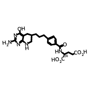 Nc1nc(O)c2c(n1)NCC(CCCc1ccc(C(=O)N[C@@H](CCC(=O)O)C(=O)O)cc1)C2